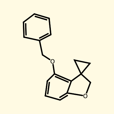 c1ccc(COc2cccc3c2C2(CC2)CO3)cc1